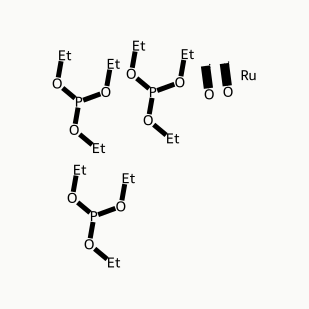 CCOP(OCC)OCC.CCOP(OCC)OCC.CCOP(OCC)OCC.[C]=O.[C]=O.[Ru]